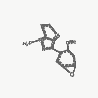 COc1cc2c(cc1-c1nn(C)c3ccsc13)O2